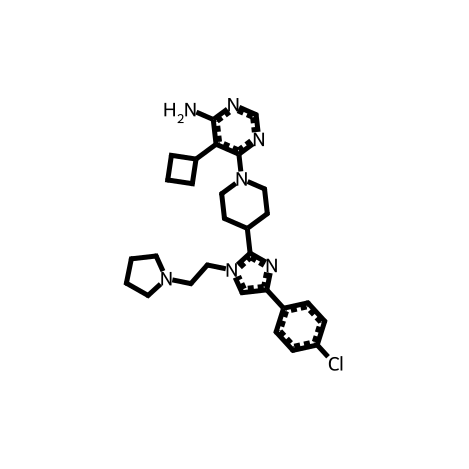 Nc1ncnc(N2CCC(c3nc(-c4ccc(Cl)cc4)cn3CCN3CCCC3)CC2)c1C1CCC1